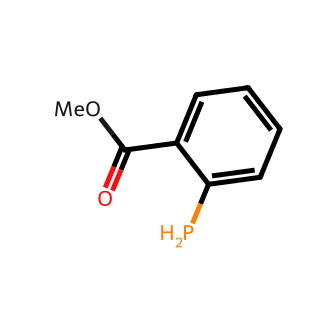 COC(=O)c1ccccc1P